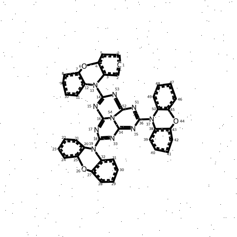 c1ccc2c(c1)Oc1ccccc1N2C1=NC2=NC(N3c4ccccc4Oc4ccccc43)=NC3=NC(N4c5ccccc5Oc5ccccc54)=NC(=N1)N23